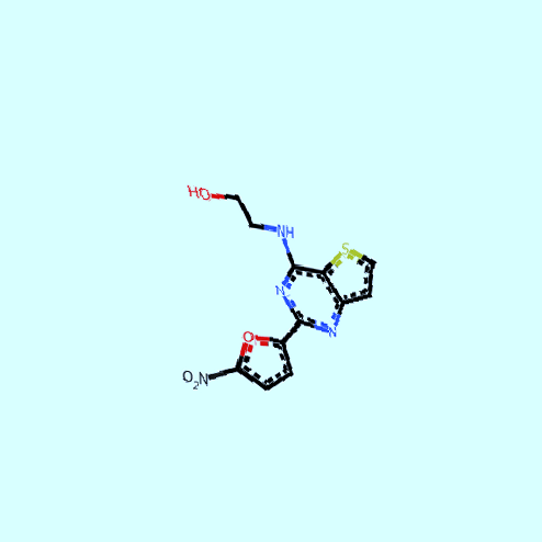 O=[N+]([O-])c1ccc(-c2nc(NCCO)c3sccc3n2)o1